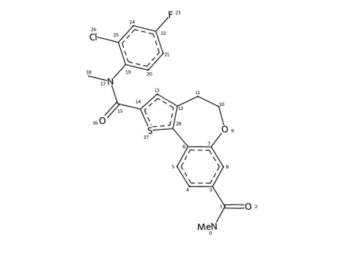 CNC(=O)c1ccc2c(c1)OCCc1cc(C(=O)N(C)c3ccc(F)cc3Cl)sc1-2